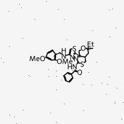 CC[C@@]1(C)CC2CSC(NC(=O)c3ccccc3)=N[C@]2(c2nc(NCc3ccc(OC)cc3OC)cs2)CO1